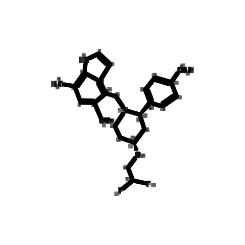 COc1cc(C)c2[nH]ccc2c1CN1CC[C@@H](OCC(F)F)C[C@@H]1c1ccc(C(=O)O)cc1